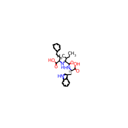 CCC(C)[C@H](NC(CCc1ccccc1)C(=O)O)C(=O)N[C@@H](Cc1c[nH]c2ccccc12)C(=O)O